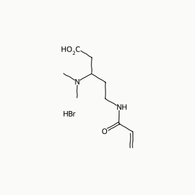 Br.C=CC(=O)NCCC(CC(=O)O)N(C)C